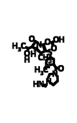 CC(O)C1C(=O)N2C(OC(=O)O)=C(SC3CC(C(=O)N4CCCN(C=N)CC4)N(C)C3)C(C)[C@@H]12